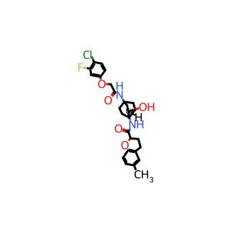 Cc1ccc2c(c1)CCC(C(=O)NC13CCC(NC(=O)COc4ccc(Cl)c(F)c4)(CC1)C[C@@H]3O)O2